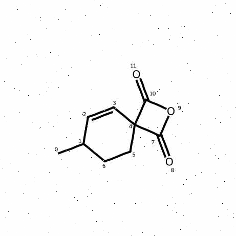 CC1C=CC2(CC1)C(=O)OC2=O